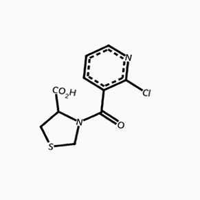 O=C(O)C1CSCN1C(=O)c1cccnc1Cl